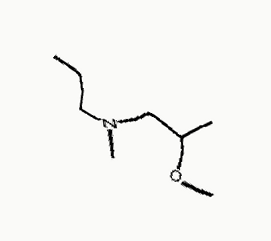 CCCN(C)CC(C)OC